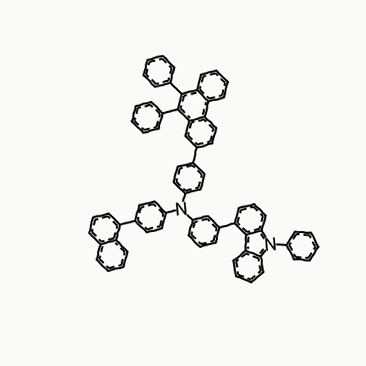 c1ccc(-c2c(-c3ccccc3)c3cc(-c4ccc(N(c5ccc(-c6cccc7ccccc67)cc5)c5cccc(-c6cccc7c6c6ccccc6n7-c6ccccc6)c5)cc4)ccc3c3ccccc23)cc1